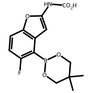 CC1(C)COB(c2c(F)ccc3oc(NC(=O)O)cc23)OC1